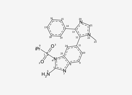 CC(C)S(=O)(=O)n1c(N)nc2ccc(-c3c(-c4ccccc4)ncn3C)cc21